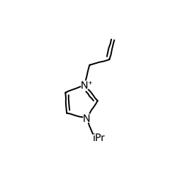 C=CC[n+]1ccn(C(C)C)c1